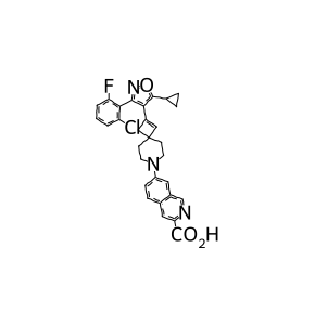 O=C(O)c1cc2ccc(N3CCC4(C=C(c5c(-c6c(F)cccc6Cl)noc5C5CC5)C4)CC3)cc2cn1